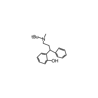 CN(CCC(c1ccccc1)c1ccccc1O)C(C)(C)C